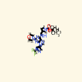 CC(C)(C)OC(=O)N1CCC(CNc2nc(N3CCOCC3)nc3c2ncn3-c2cnn(C(F)F)c2)C1